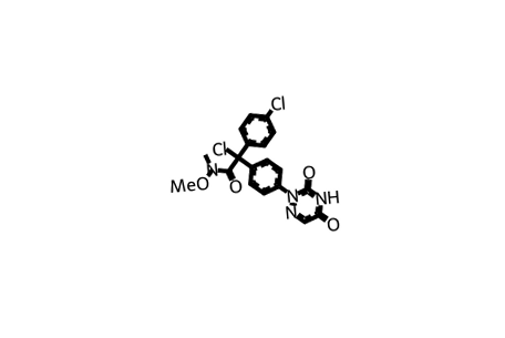 CON(C)C(=O)C(Cl)(c1ccc(Cl)cc1)c1ccc(-n2ncc(=O)[nH]c2=O)cc1